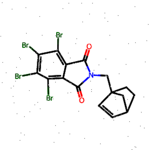 O=C1c2c(Br)c(Br)c(Br)c(Br)c2C(=O)N1CC12C=CC(CC1)C2